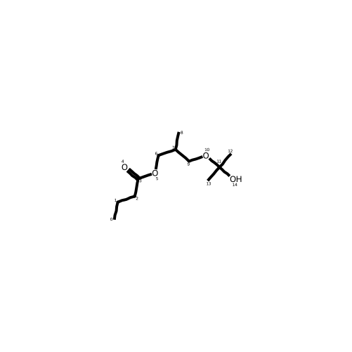 CCCC(=O)OCC(C)COC(C)(C)O